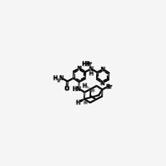 Br.NC(=O)c1cnc(Nc2cnccn2)cc1NC1[C@@H]2CC3C[C@H]1CC(Br)(C3)C2